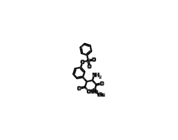 COC(=O)C(c1cccc(OS(=O)(=O)c2ccccc2)c1)C(N)C(=O)OC(C)(C)C